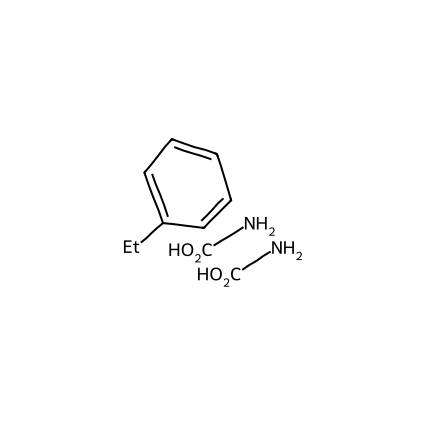 CCc1ccccc1.NC(=O)O.NC(=O)O